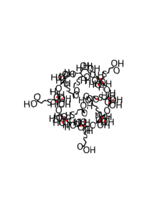 CCCSC[C@H]1C[C@@H]2OC3[C@@H](CSCCOOC)O[C@H](OC4[C@@H](CSCCC(=O)O)O[C@H](O[C@H]5[C@H](O)[C@@H](O)C(O[C@H]6[C@H](O)[C@@H](O)C(O[C@H]7[C@H](O)[C@@H](O)C(O[C@H]8[C@H](O)[C@@H](O)[C@@H](OC9[C@@H](CSCCC(=O)O)O[C@H](OC1[C@H](O)[C@H]2O)[C@H](O)[C@H]9O)O[C@@H]8CSCCC(=O)O)O[C@@H]7CSCCC(=O)O)O[C@@H]6CSCCC(=O)O)O[C@@H]5CSCCOOC)[C@H](O)[C@H]4O)[C@H](O)[C@H]3O